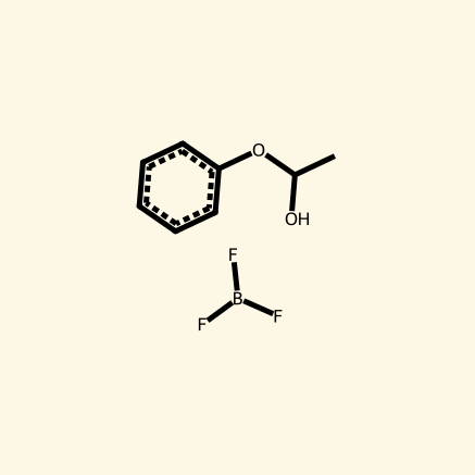 CC(O)Oc1ccccc1.FB(F)F